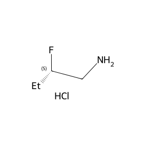 CC[C@H](F)CN.Cl